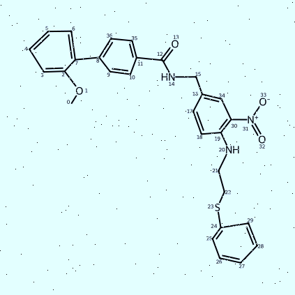 COc1ccccc1-c1ccc(C(=O)NCc2ccc(NCCSc3ccccc3)c([N+](=O)[O-])c2)cc1